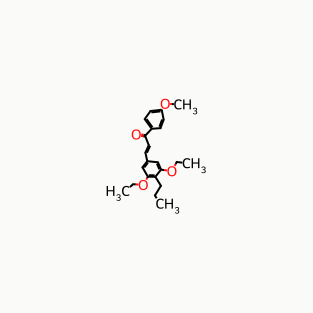 CCCc1c(OCC)cc(/C=C/C(=O)c2ccc(OC)cc2)cc1OCC